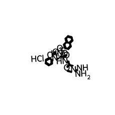 Cl.N=C(N)N1CCOC(CNC(=O)[C@@H](Cn2c(=O)oc3ccccc32)NS(=O)(=O)c2ccc3ccccc3c2)C1